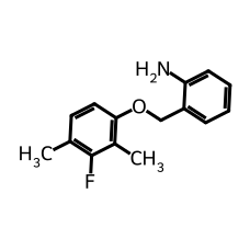 Cc1ccc(OCc2ccccc2N)c(C)c1F